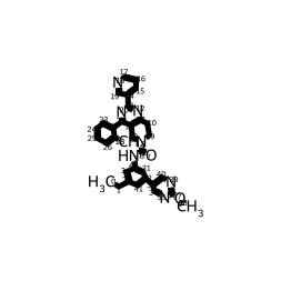 CCc1cc(NC(=O)N2CCc3nc(-c4cccnc4)nc(-c4ccccc4C)c3C2)cc(-c2cnc(OC)nc2)c1